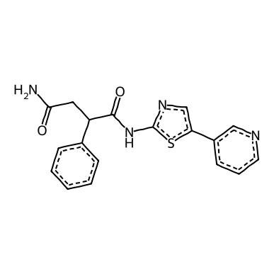 NC(=O)CC(C(=O)Nc1ncc(-c2cccnc2)s1)c1ccccc1